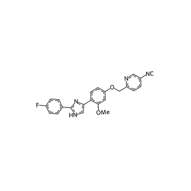 [C-]#[N+]c1ccc(COc2ccc(-c3c[nH]c(-c4ccc(F)cc4)n3)c(OC)c2)nc1